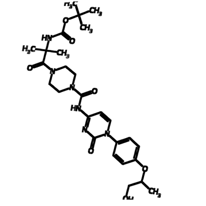 CC(CO)Oc1ccc(-n2ccc(NC(=O)N3CCN(C(=O)C(C)(C)NC(=O)OC(C)(C)C)CC3)nc2=O)cc1